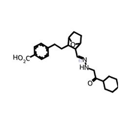 O=C(O)c1ccc(CCC2C3CCC(O3)C2/C=N/NCC(=O)C2CCCCC2)cc1